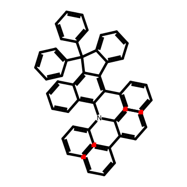 c1ccc(-c2ccccc2N(c2ccccc2)c2c(-c3ccccc3)c3c(c4ccccc24)C(c2ccccc2)(c2ccccc2)c2ccccc2-3)cc1